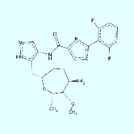 CO[C@H]1[C@H](N)CC[C@@H](Cc2[nH]ncc2NC(=O)c2csc(-c3c(F)cccc3F)n2)O[C@H]1C